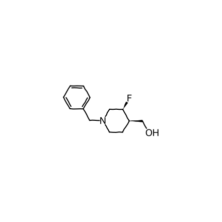 OC[C@H]1CCN(Cc2ccccc2)C[C@H]1F